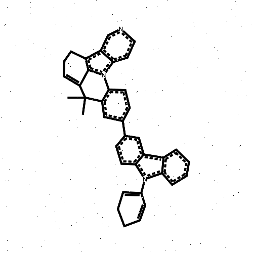 CC1(C)C2=CCCc3c2n(c2ccncc32)-c2ccc(-c3ccc4c(c3)c3ccccc3n4C3=CCCC=C3)cc21